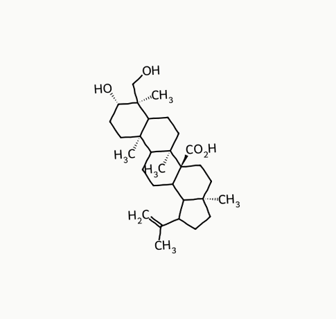 C=C(C)C1CC[C@]2(C)CC[C@]3(C(=O)O)C(CCC4[C@@]5(C)CC[C@H](O)[C@@](C)(CO)C5CC[C@]43C)C12